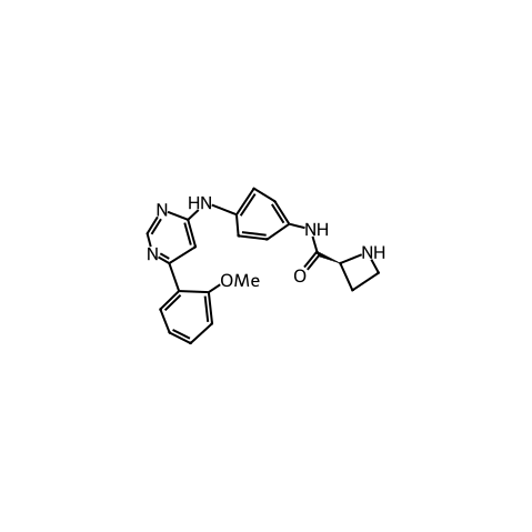 COc1ccccc1-c1cc(Nc2ccc(NC(=O)[C@@H]3CCN3)cc2)ncn1